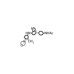 CC(=O)Nc1ccc(-c2ccc(Nc3ccc(N4CCOCC4)c(C)c3)c3nccn23)cc1